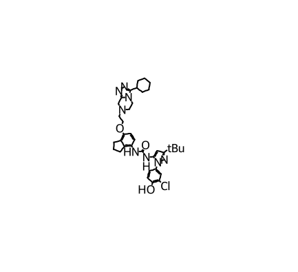 CC(C)(C)c1cc(NC(=O)Nc2ccc(OCCN3CCn4c(nnc4C4CCCCC4)C3)c3c2CCC3)n(-c2ccc(O)c(Cl)c2)n1